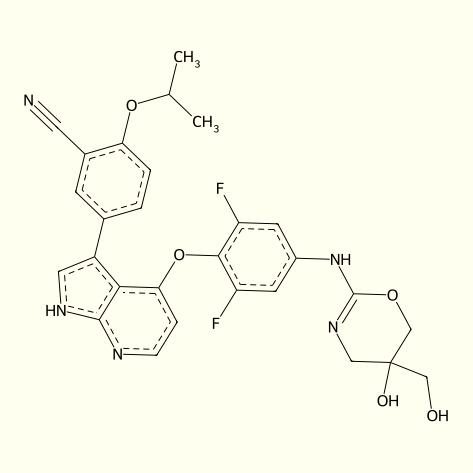 CC(C)Oc1ccc(-c2c[nH]c3nccc(Oc4c(F)cc(NC5=NCC(O)(CO)CO5)cc4F)c23)cc1C#N